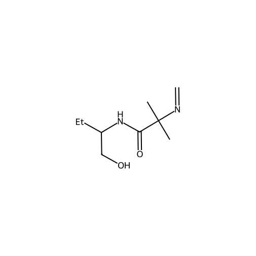 C=NC(C)(C)C(=O)NC(CC)CO